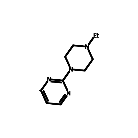 CCN1CCN(c2n[c]ccn2)CC1